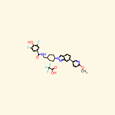 COc1ccc(-c2ccc3cn(C4CCC(CNC(=O)c5cc(F)c(O)c(F)c5)CC4)nc3c2)cn1.O=C(O)C(F)(F)F